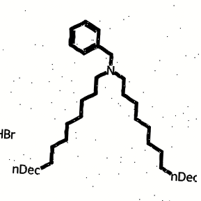 Br.CCCCCCCCCCCCCCCCCCN(CCCCCCCCCCCCCCCCCC)Cc1ccccc1